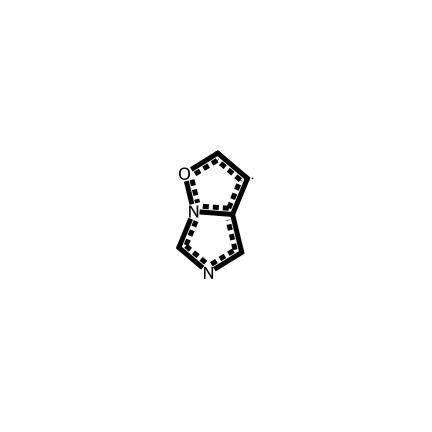 [c]1con2cncc12